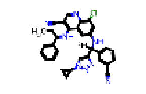 [2H]C(Nc1cc(Cl)c2ncc(C#N)c(NC(CC)c3ccccc3)c2c1)(c1cccc(C#N)c1)c1cn(C2CC2)nn1